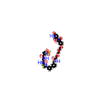 CS(=O)(=O)n1ccc(C(=O)NCC(=O)Nc2nc(-c3cccc(-c4cccc(CNC(=O)CCOCCOCCOc5ccc6c(c5)C(=O)N(C5CCC(=O)NC5=O)C6=O)c4)c3)cs2)c1